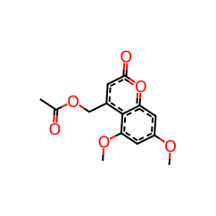 COc1cc(OC)c2c(COC(C)=O)cc(=O)oc2c1